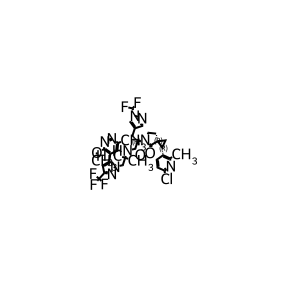 COc1nnc(C)cc1-c1cc(C(F)(F)F)nn1CC(C)(C)NC(=O)[C@@H](Cc1cnn(C(F)F)c1)N1CC[C@@]2(C[C@@H]2c2ccc(Cl)nc2C)C1=O